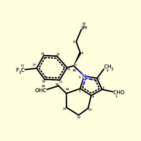 Cc1c(C=O)c2c(n1[C@H](CCC(C)C)c1ccc(C(F)(F)F)cc1)C(CC=O)CCC2